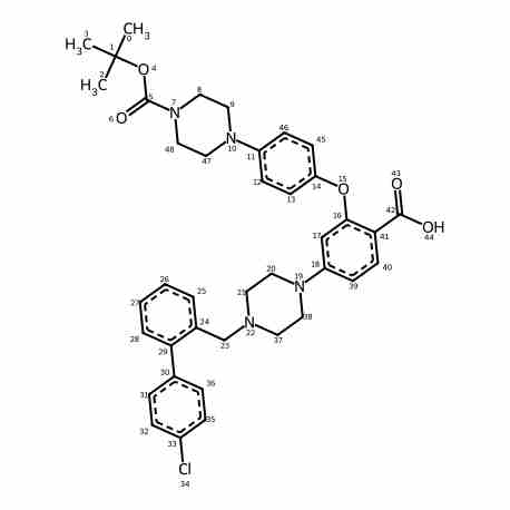 CC(C)(C)OC(=O)N1CCN(c2ccc(Oc3cc(N4CCN(Cc5ccccc5-c5ccc(Cl)cc5)CC4)ccc3C(=O)O)cc2)CC1